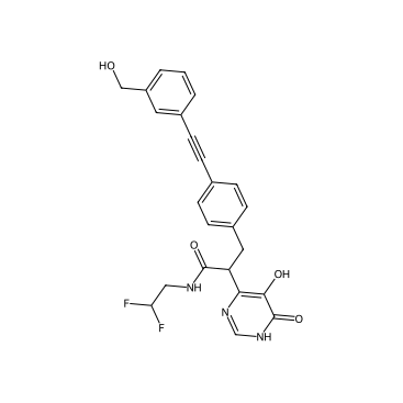 O=C(NCC(F)F)C(Cc1ccc(C#Cc2cccc(CO)c2)cc1)c1nc[nH]c(=O)c1O